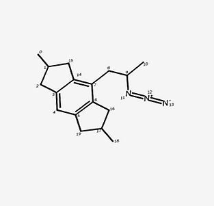 CC1Cc2cc3c(c(CC(C)N=[N+]=[N-])c2C1)CC(C)C3